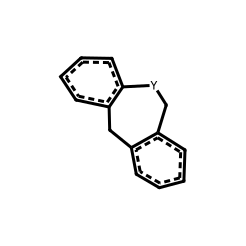 c1ccc2c(c1)[CH2][Y][c]1ccccc1C2